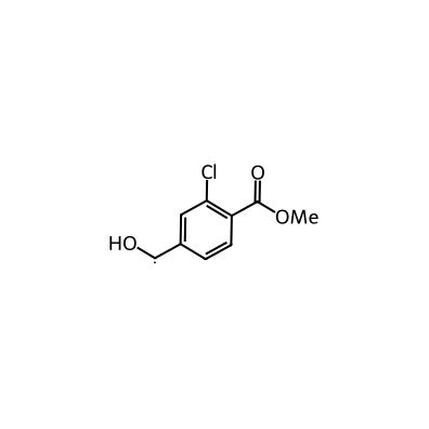 COC(=O)c1ccc([CH]O)cc1Cl